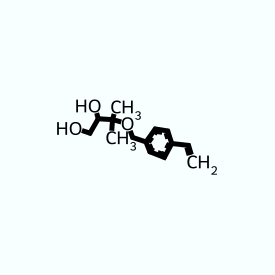 C=Cc1ccc(COC(C)(C)C(O)CO)cc1